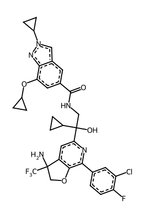 NC1(C(F)(F)F)COc2c1cc(C(O)(CNC(=O)c1cc(OC3CC3)c3nn(C4CC4)cc3c1)C1CC1)nc2-c1ccc(F)c(Cl)c1